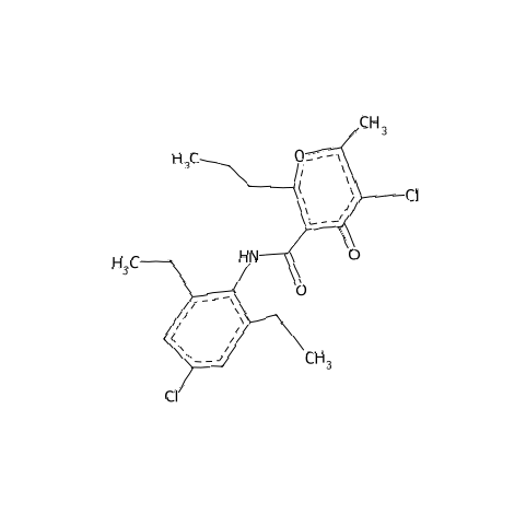 CCCc1oc(C)c(Cl)c(=O)c1C(=O)Nc1c(CC)cc(Cl)cc1CC